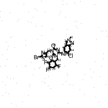 Cn1cc2cc(Nc3nc(=O)n(Cc4csc(Br)n4)c(=O)n3Cc3cc(F)c(F)cc3F)c(Cl)cc2n1